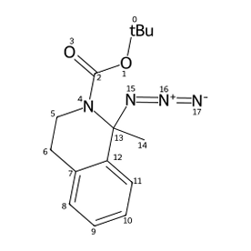 CC(C)(C)OC(=O)N1CCc2ccccc2C1(C)N=[N+]=[N-]